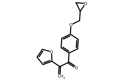 C=C(C(=O)c1ccc(OCC2CO2)cc1)c1ccco1